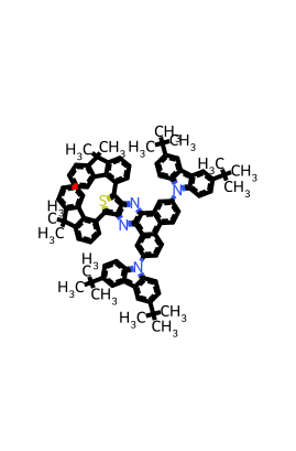 CC(C)(C)c1ccc2c(c1)c1cc(C(C)(C)C)ccc1n2-c1ccc2c3ccc(-n4c5ccc(C(C)(C)C)cc5c5cc(C(C)(C)C)ccc54)cc3c3nc4c(-c5cccc6c5-c5ccccc5C6(C)C)sc(-c5cccc6c5-c5ccccc5C6(C)C)c4nc3c2c1